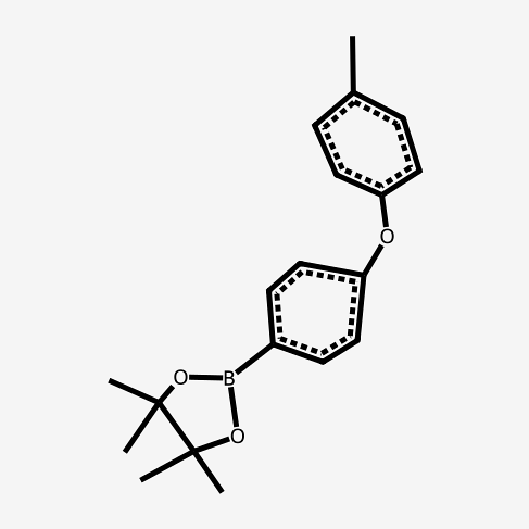 Cc1ccc(Oc2ccc(B3OC(C)(C)C(C)(C)O3)cc2)cc1